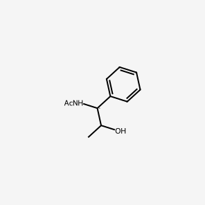 CC(=O)N[C](c1ccccc1)C(C)O